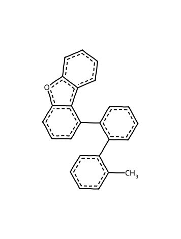 Cc1ccccc1-c1ccccc1-c1cccc2oc3ccccc3c12